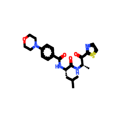 CC(C)C[C@H](NC(=O)c1ccc(N2CCOCC2)cc1)C(=O)N[C@@H](C)C(=O)c1nccs1